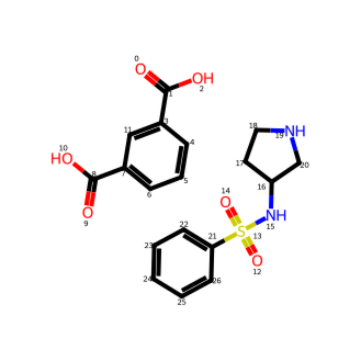 O=C(O)c1cccc(C(=O)O)c1.O=S(=O)(NC1CCNC1)c1ccccc1